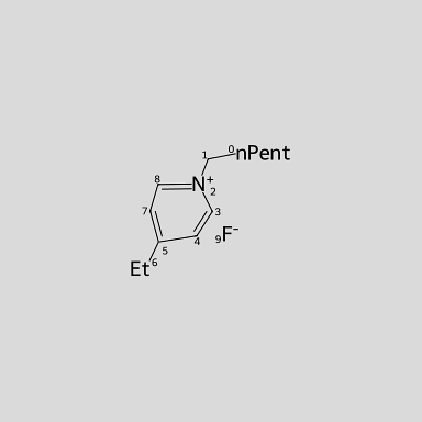 CCCCCC[n+]1ccc(CC)cc1.[F-]